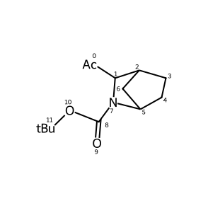 CC(=O)C1C2CCC(C2)N1C(=O)OC(C)(C)C